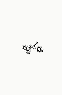 N#Cc1sc(NC(=O)[C@H]2CCCC[C@@H]2C(=O)O)nc1-c1ccc(F)cc1